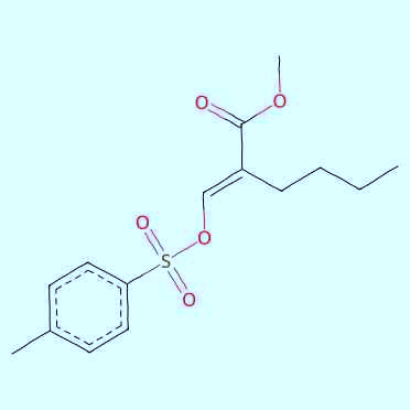 CCCC/C(=C\OS(=O)(=O)c1ccc(C)cc1)C(=O)OC